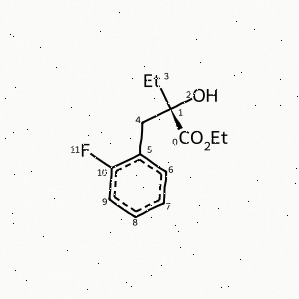 CCOC(=O)[C@](O)(CC)Cc1ccccc1F